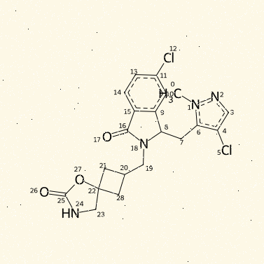 Cn1ncc(Cl)c1CC1c2cc(Cl)ccc2C(=O)N1CC1CC2(CNC(=O)O2)C1